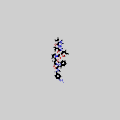 CC[C@H](C)[C@@H]([C@@H](CC(=O)N1CCC[C@H]1[C@H](OC)[C@@H](C)C(=O)N[C@H](Cc1ccccc1)C(=O)N(C)Cc1ccc(N)cc1)OC)N(C)C(=O)[C@@H](NC(=O)[C@H](C(C)C)N(C)C)C(C)C